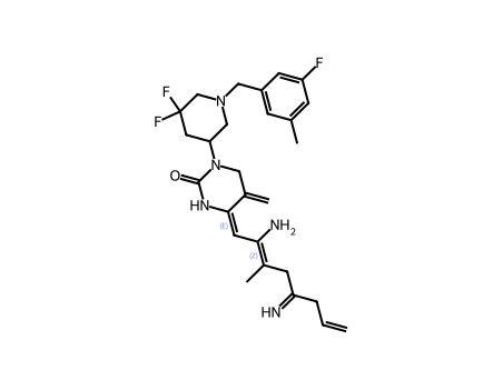 C=CCC(=N)C/C(C)=C(N)/C=C1/NC(=O)N(C2CN(Cc3cc(C)cc(F)c3)CC(F)(F)C2)CC1=C